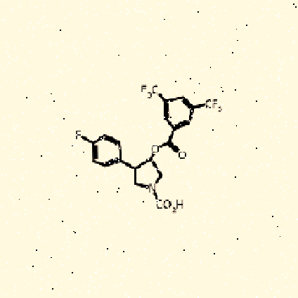 O=C(OC1CN(C(=O)O)CC1c1ccc(F)cc1)c1cc(C(F)(F)F)cc(C(F)(F)F)c1